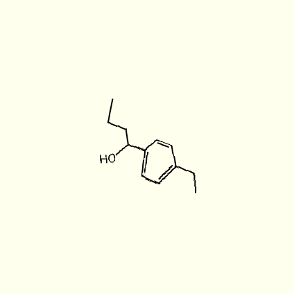 CCCC(O)c1ccc(CC)cc1